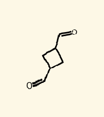 O=CC1CC(C=O)C1